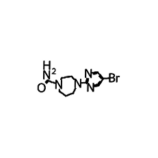 NC(=O)N1CCCN(c2ncc(Br)cn2)CC1